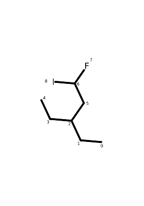 CCC(CC)CC(F)I